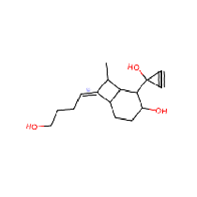 CC1/C(=C/CCCO)C2CCC(O)C(C3(O)C#C3)C12